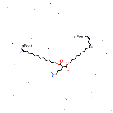 CCCCC/C=C\C/C=C\CCCCCCCCOC(=O)C(CCCN(C)C)C(=O)OCCCCCCCCCCC/C=C\CCCCC